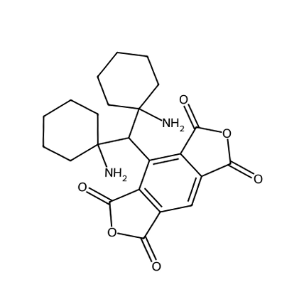 NC1(C(c2c3c(=O)oc(=O)c3cc3c(=O)oc(=O)c23)C2(N)CCCCC2)CCCCC1